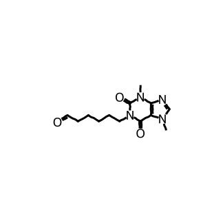 Cn1cnc2c1c(=O)n(CCCCCC=O)c(=O)n2C